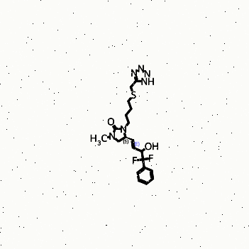 CN1C[C@H](/C=C/C(O)C(F)(F)c2ccccc2)N(CCCCSCc2nnn[nH]2)C1=O